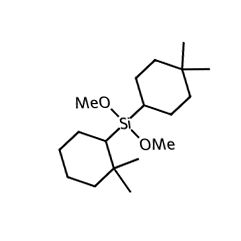 CO[Si](OC)(C1CCC(C)(C)CC1)C1CCCCC1(C)C